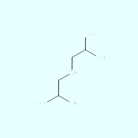 CCCCCCCCC(O)CNCC(O)CCCCCCCC